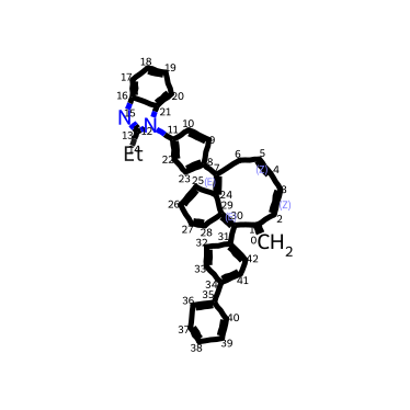 C=C1/C=C\C=C/C/C(c2ccc(-n3c(CC)nc4ccccc43)cc2)=c2/cccc/c2=C/1c1ccc(-c2ccccc2)cc1